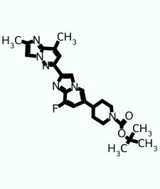 Cc1cn2nc(-c3cn4cc(C5CCN(C(=O)OC(C)(C)C)CC5)cc(F)c4n3)cc(C)c2n1